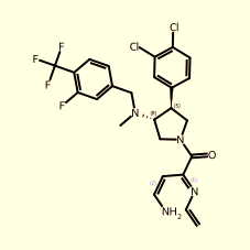 C=C/N=C(\C=C/N)C(=O)N1C[C@H](c2ccc(Cl)c(Cl)c2)[C@@H](N(C)Cc2ccc(C(F)(F)F)c(F)c2)C1